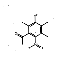 CC(=O)c1c(C)c(O)c(C)c(C)c1[N+](=O)[O-]